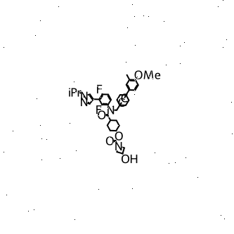 COc1ccc(C23CCC(CN(C(=O)C4CCC(OC(=O)N5CC(O)C5)CC4)c4ccc(F)c(-c5cnn(C(C)C)c5)c4F)(CC2)CC3)cc1C